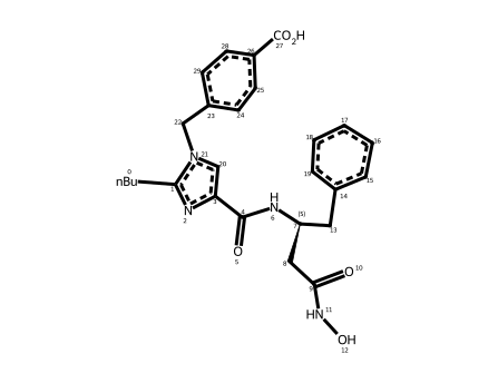 CCCCc1nc(C(=O)N[C@H](CC(=O)NO)Cc2ccccc2)cn1Cc1ccc(C(=O)O)cc1